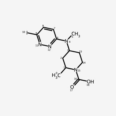 CC1CC(N(C)c2ccc(I)nn2)CCN1C(=O)O